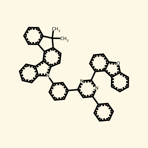 CC1(C)c2ccccc2-c2c1ccc1c2c2ccccc2n1-c1cccc(-c2cc(-c3ccccc3)nc(-c3cccc4oc5ccccc5c34)n2)c1